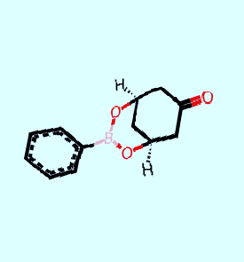 O=C1C[C@@H]2C[C@H](C1)OB(c1ccccc1)O2